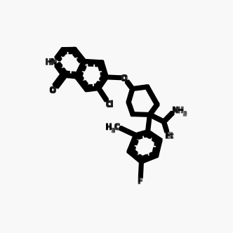 CCC(N)C1(c2ccc(F)cc2C)CCC(Oc2cc3cc[nH]c(=O)c3cc2Cl)CC1